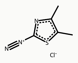 Cc1nc([N+]#N)sc1C.[Cl-]